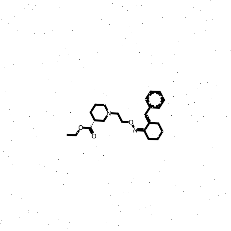 CCOC(=O)[C@@H]1CCCN(CCON=C2CCCCC2=Cc2ccccc2)C1